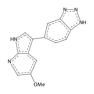 COc1cnc2[nH]cc(-c3ccc4[nH]nnc4c3)c2c1